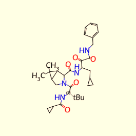 CC1(C)C2CN(C(=O)[C@@H](NC(=O)C3CC3)C(C)(C)C)C(C(=O)NC(CC3CC3)C(=O)C(=O)NCc3ccccc3)C21